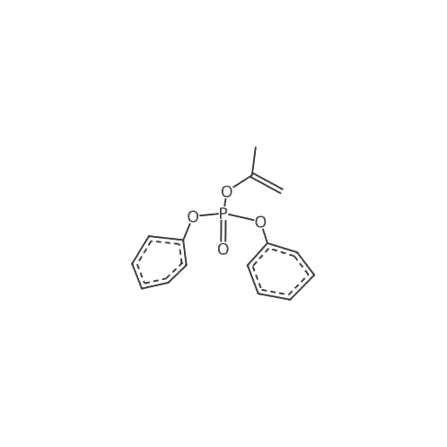 C=C(C)OP(=O)(Oc1ccccc1)Oc1ccccc1